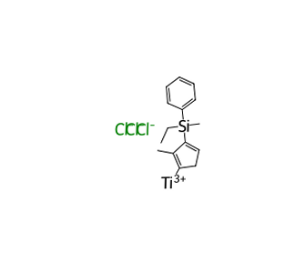 CC[Si](C)(C1=CC[C]([Ti+3])=C1C)c1ccccc1.[Cl-].[Cl-].[Cl-]